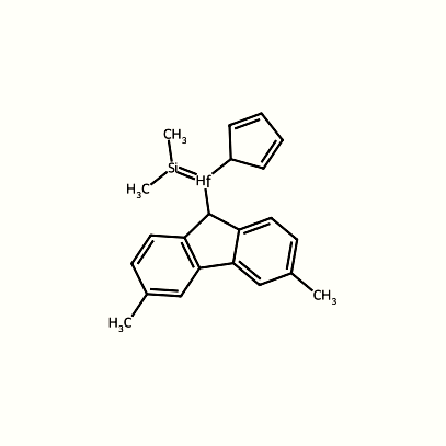 Cc1ccc2c(c1)-c1cc(C)ccc1[CH]2[Hf]([CH]1C=CC=C1)=[Si](C)C